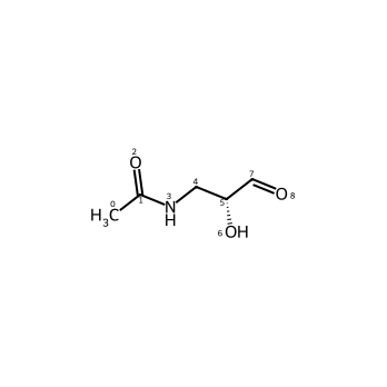 CC(=O)NC[C@@H](O)C=O